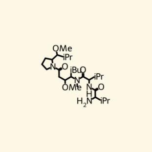 CCC(C)C(C(CC(=O)N1CCCC1C(OC)C(C)C)OC)N(C)C(=O)C(NC(=O)C(N)C(C)C)C(C)C